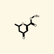 CCCCOC(=O)C1=CC(=O)CC(C)O1